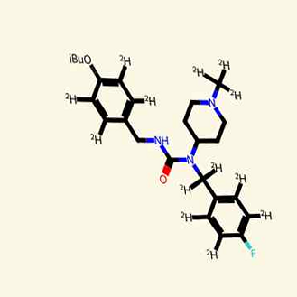 [2H]c1c([2H])c(C([2H])([2H])N(C(=O)NCc2c([2H])c([2H])c(OCC(C)C)c([2H])c2[2H])C2CCN(C([2H])([2H])[2H])CC2)c([2H])c([2H])c1F